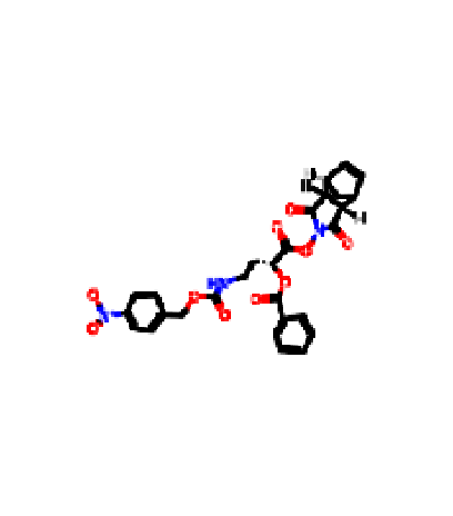 O=C(NCC[C@@H](OC(=O)c1ccccc1)C(=O)ON1C(=O)[C@@H]2[C@H]3C=CC(C3)[C@@H]2C1=O)OCc1ccc([N+](=O)[O-])cc1